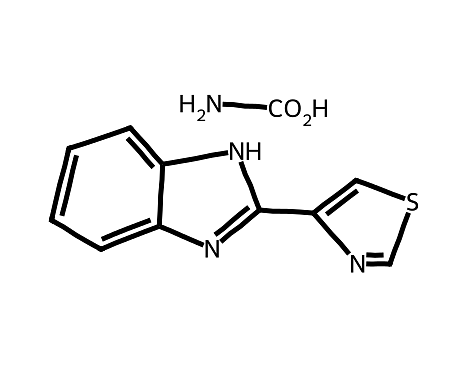 NC(=O)O.c1ccc2[nH]c(-c3cscn3)nc2c1